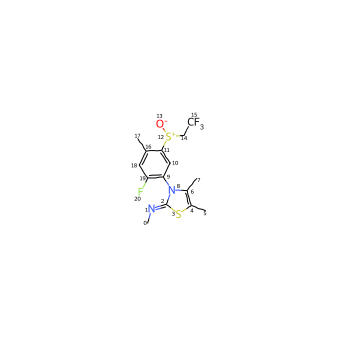 C/N=c1\sc(C)c(C)n1-c1cc([S+]([O-])CC(F)(F)F)c(C)cc1F